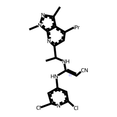 Cc1nn(C)c2nc(C(C)N/C(=C\C#N)Nc3cc(Cl)nc(Cl)c3)cc(C(C)C)c12